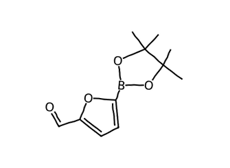 CC1(C)OB(c2ccc(C=O)o2)OC1(C)C